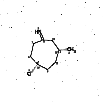 C[C@@H]1CC[C@H](Cl)CCC(=N)C1